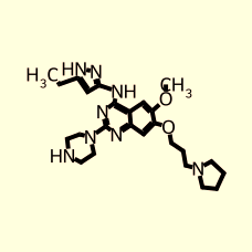 CCc1cc(Nc2nc(N3CCNCC3)nc3cc(OCCCN4CCCC4)c(OC)cc23)n[nH]1